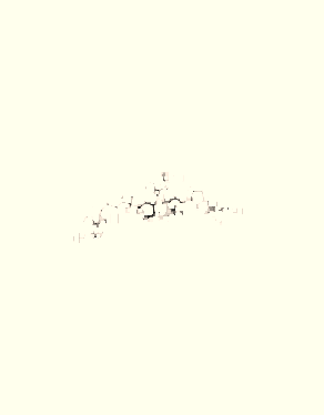 C[C@@H](CCCC(F)(F)c1cc(N(C(=O)OC(C)(C)C)c2cc([C@H]3CC[C@@H](O[Si](C)(C)C(C)(C)C)C3)nn2C(C)(C)C)ccn1)NC(=O)OC(C)(C)C